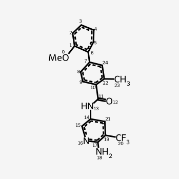 COc1ccccc1-c1ccc(C(=O)Nc2cnc(N)c(C(F)(F)F)c2)c(C)c1